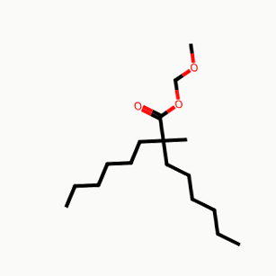 CCCCCCC(C)(CCCCCC)C(=O)OCOC